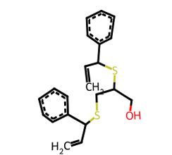 C=CC(SCC(CO)SC(C=C)c1ccccc1)c1ccccc1